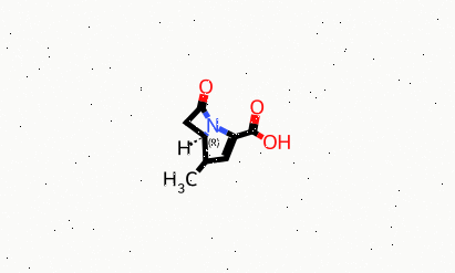 CC1C=C(C(=O)O)N2C(=O)C[C@H]12